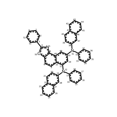 c1ccc(-c2nc3c(ccc4c(N(c5ccccc5)c5ccc6ccccc6c5)cc(N(c5ccccc5)c5ccc6ccccc6c5)cc43)o2)cc1